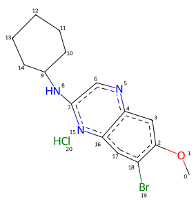 COc1cc2ncc(NC3CCCCC3)nc2cc1Br.Cl